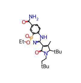 CCOP1(=O)N=C(C2=C(C)C(C(C)(C)C)N(CCC(C)(C)C)C2=O)Nc2ccc(C(N)=O)cc21